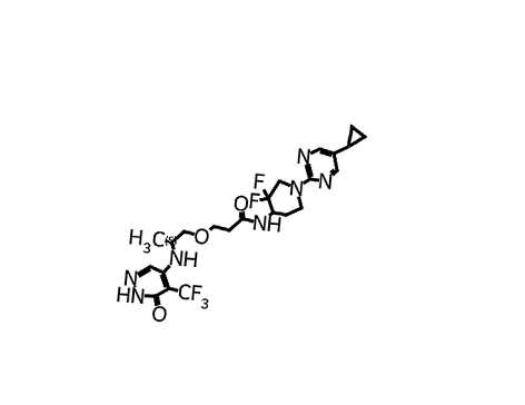 C[C@@H](COCCC(=O)NC1CCN(c2ncc(C3CC3)cn2)CC1(F)F)Nc1cn[nH]c(=O)c1C(F)(F)F